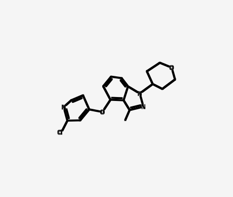 Cc1nn(C2CCOCC2)c2cccc(Oc3ccnc(Cl)c3)c12